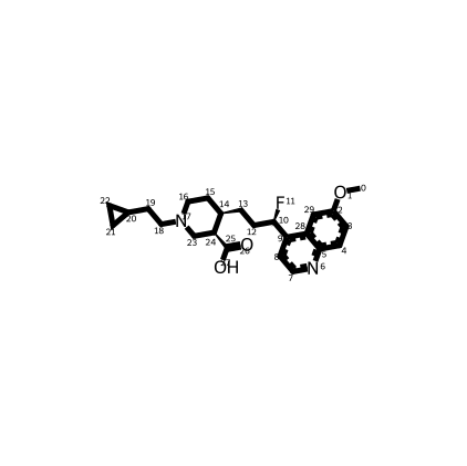 COc1ccc2nccc([C@H](F)CC[C@@H]3CCN(CCC4CC4)C[C@@H]3C(=O)O)c2c1